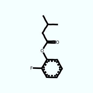 CC(C)CC(=O)Oc1ccccc1F